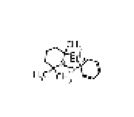 CCC1(ON2C(C)(C)CCCC2(C)C)C=CC=CC1